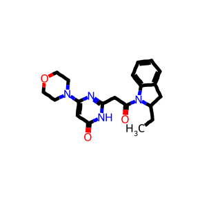 CCC1Cc2ccccc2N1C(=O)Cc1nc(N2CCOCC2)cc(=O)[nH]1